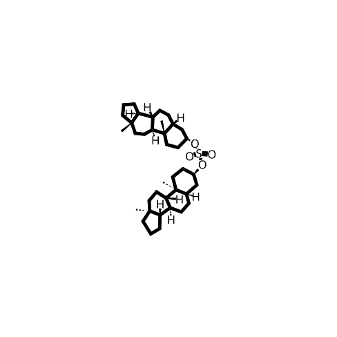 C[C@@]12CCC[C@H]1[C@@H]1CC[C@@H]3C[C@H](OS(=O)(=O)O[C@@H]4CC[C@@]5(C)[C@H](CC[C@H]6[C@@H]7CCC[C@@]7(C)CC[C@@H]65)C4)CC[C@]3(C)[C@H]1CC2